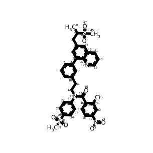 CC(Cc1cc(-c2cccc(CCN(C(=O)c3ccc([N+](=O)[O-])cc3Cl)c3ccc(S(C)(=O)=O)cc3)c2)c2ncccc2c1)S(C)(=O)=O